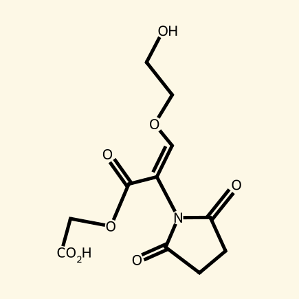 O=C(O)COC(=O)C(=COCCO)N1C(=O)CCC1=O